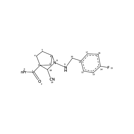 CCCC(=O)C12CCC(C1)N(NCc1ccc(F)cc1)C2C#N